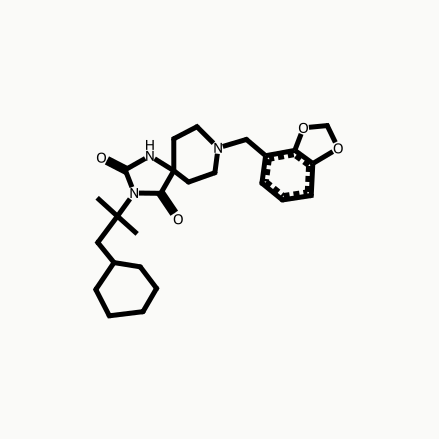 CC(C)(CC1CCCCC1)N1C(=O)NC2(CCN(Cc3cccc4c3OCO4)CC2)C1=O